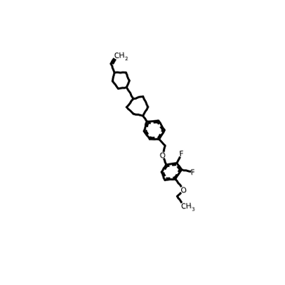 C=CC1CCC(C2CCC(c3ccc(COc4ccc(OCC)c(F)c4F)cc3)CC2)CC1